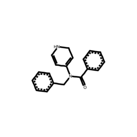 O=C(c1ccccc1)N(Cc1ccccc1)C1=CCNC=C1